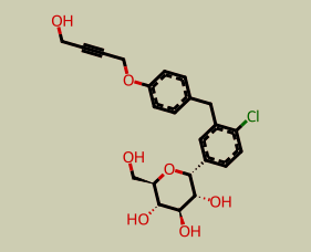 OCC#CCOc1ccc(Cc2cc([C@H]3O[C@H](CO)[C@@H](O)[C@H](O)[C@H]3O)ccc2Cl)cc1